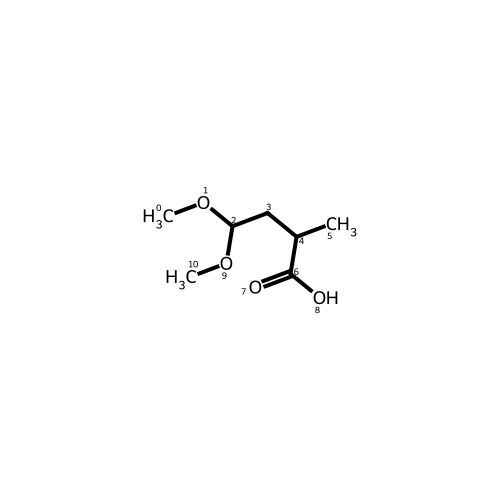 COC(CC(C)C(=O)O)OC